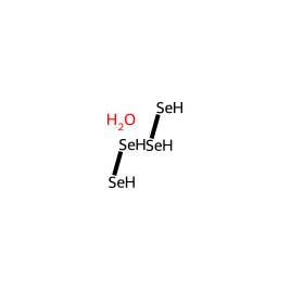 O.[SeH][SeH].[SeH][SeH]